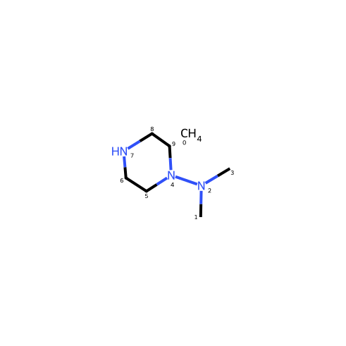 C.CN(C)N1CCNCC1